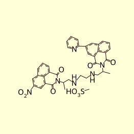 CC(CNCCNCC(C)N1C(=O)c2cccc3cc([N+](=O)[O-])cc(c23)C1=O)N1C(=O)c2cccc3cc(-c4ccccn4)cc(c23)C1=O.CS(=O)(=O)O